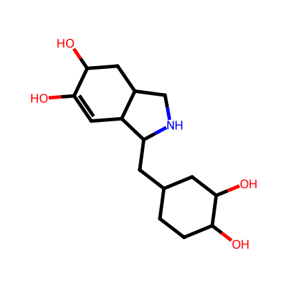 OC1=CC2C(CNC2CC2CCC(O)C(O)C2)CC1O